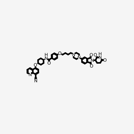 N#Cc1ccc(O[C@H]2CC[C@H](NC(=O)c3ccc(OCCCCN4CCN(c5ccc6c(c5)C(=O)N(C5CCC(=O)NC5=O)C6=O)CC4)cc3)CC2)c2cccnc12